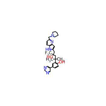 CC(C)(CC(O)(Cc1cc2nc(CN3CCCCC3)ccc2[nH]1)C(F)(F)F)c1cc(-c2cncnc2)ccc1O